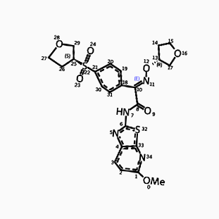 COc1ccc2nc(NC(=O)/C(=N/O[C@@H]3CCOC3)c3ccc(S(=O)(=O)[C@H]4CCOC4)cc3)sc2n1